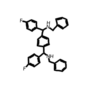 Fc1ccc(C(NCc2ccccc2)c2ccc(C(NCc3ccccc3)c3ccc(F)cc3)cc2)cc1